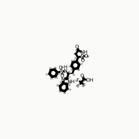 O=C(O)C(F)(F)F.O=C1CC(c2ccc(C[C@H](NS(=O)(=O)c3ccccc3)c3nc4ccccc4[nH]3)cc2)S(=O)(=O)N1